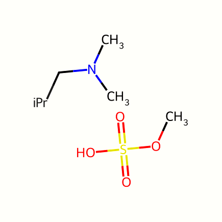 CC(C)CN(C)C.COS(=O)(=O)O